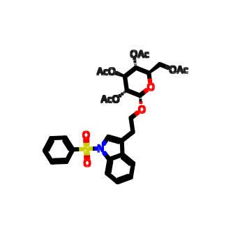 CC(=O)OC[C@H]1O[C@H](OCCc2cn(S(=O)(=O)c3ccccc3)c3ccccc23)[C@H](OC(C)=O)[C@@H](OC(C)=O)[C@@H]1OC(C)=O